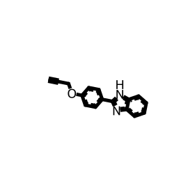 C#CCOc1ccc(-c2nc3ccccc3[nH]2)cc1